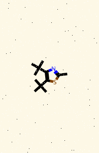 Cc1nc(C(C)(C)C)c(C(C)(C)C)s1